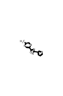 Cc1cnc(-c2nc(-c3cccnc3)no2)cn1